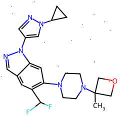 CC1(N2CCN(c3cc4c(cnn4-c4cnn(C5CC5)c4)cc3C(F)F)CC2)COC1